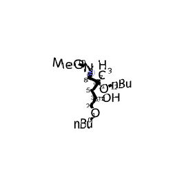 CCCCOC[C@@H](O)C[C@](C)(/C=N/OC)OCCCC